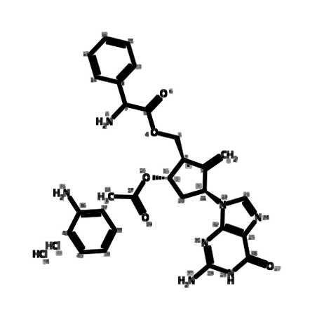 C=C1[C@H](COC(=O)C(N)c2ccccc2)[C@@H](OC(C)=O)C[C@@H]1n1cnc2c(=O)[nH]c(N)nc21.Cl.Cl.Nc1ccccc1